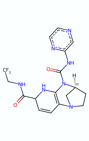 O=C(NCC(F)(F)F)C1C=CC2=C(N1)N(C(=O)Nc1cnccn1)[C@H]1CCN2C1